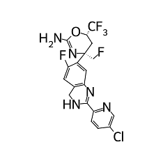 NC1=N[C@](CF)(c2cc3c(cc2F)CNC(c2ccc(Cl)cn2)=N3)C[C@@H](C(F)(F)F)O1